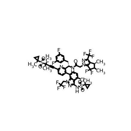 CC1[C@H](C)c2c(C(F)(F)F)nn(CC(=O)N[C@@H](Cc3cc(F)cc(F)c3)c3nc(C#CC(C)(C)S(=O)(=O)C4(C)CC4)ccc3-c3ccc(Cl)c4c(NS(=O)(=O)C5(C)CC5)nn(CC(F)(F)F)c34)c2C1(F)F